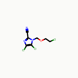 N#Cc1nc(Cl)c(Cl)n1COCCCl